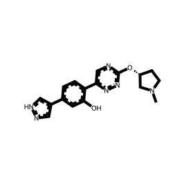 CN1CC[C@@H](Oc2ncc(-c3ccc(-c4cn[nH]c4)cc3O)nn2)C1